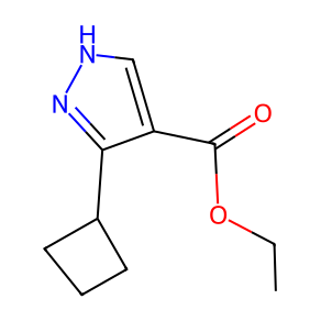 CCOC(=O)c1c[nH]nc1C1CCC1